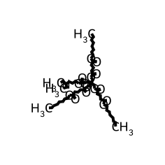 CCCCCCCCOC(=O)CCCC(=O)OCC(COC(=O)CCCC(=O)OCCCCCCCC)(COC(=O)CCCC(=O)OCCCCCCCC)COC(=O)OCCCN(CC)CC